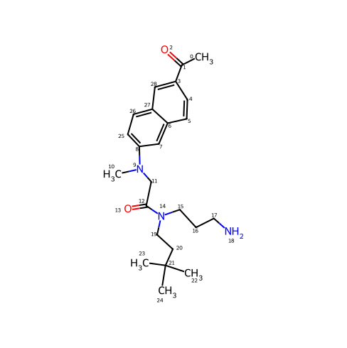 CC(=O)c1ccc2cc(N(C)CC(=O)N(CCCN)CCC(C)(C)C)ccc2c1